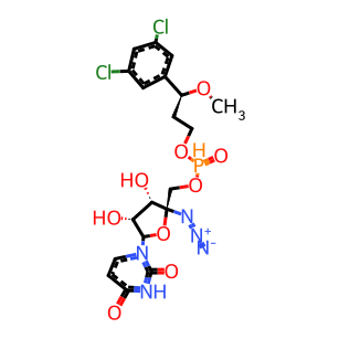 CO[C@@H](CCO[PH](=O)OC[C@@]1(N=[N+]=[N-])OC(n2ccc(=O)[nH]c2=O)[C@H](O)[C@@H]1O)c1cc(Cl)cc(Cl)c1